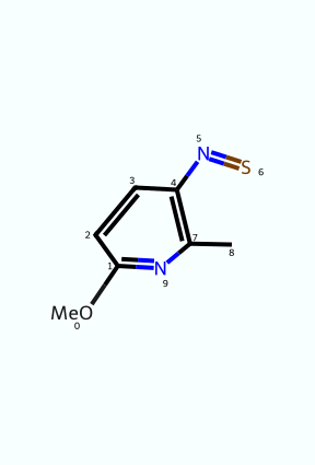 COc1ccc(N=S)c(C)n1